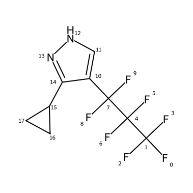 FC(F)(F)C(F)(F)C(F)(F)c1c[nH]nc1C1CC1